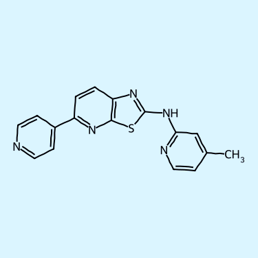 Cc1ccnc(Nc2nc3ccc(-c4ccncc4)nc3s2)c1